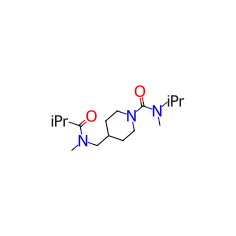 CC(C)C(=O)N(C)CC1CCN(C(=O)N(C)C(C)C)CC1